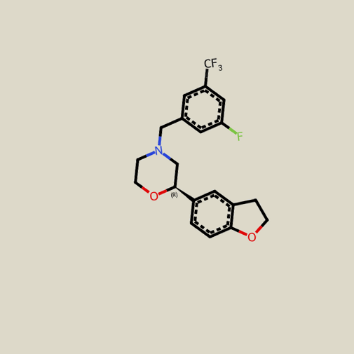 Fc1cc(CN2CCO[C@H](c3ccc4c(c3)CCO4)C2)cc(C(F)(F)F)c1